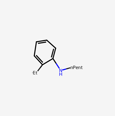 C[CH]c1ccccc1NCCCCC